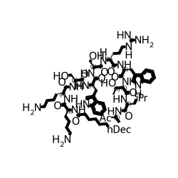 CCCCCCCCCCCCCCCC(=O)N[C@@H](CCCCN)C(=O)N[C@H](CCCCN)C(=O)N[C@@H](CO)C(=O)N[C@H](Cc1c[nH]c2ccccc12)C(=O)N[C@@H](CO)C(=O)N[C@H](CCCNC(=N)N)C(=O)N[C@@H](Cc1c[nH]c2ccccc12)C(=O)N[C@H](C(=O)N[C@@H](CC(C)C)C(=O)N[C@@H](C)C(C)=O)[C@@H](C)O